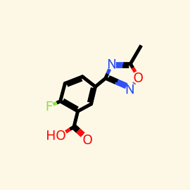 Cc1nc(-c2ccc(F)c(C(=O)O)c2)no1